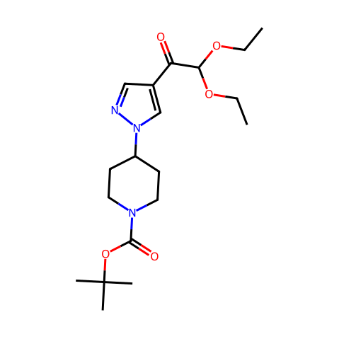 CCOC(OCC)C(=O)c1cnn(C2CCN(C(=O)OC(C)(C)C)CC2)c1